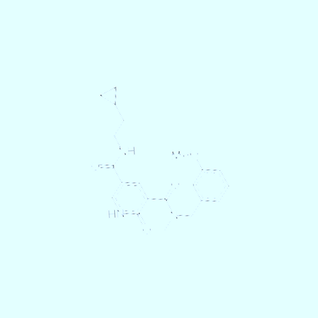 COc1cccc(CN(C)C(=O)c2cc(C(=O)NCCC3CC3)c[nH]c2=O)c1